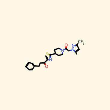 Cc1cc(C(F)(F)F)nn1CC(=O)N1CCC(c2nc(C(=O)CCc3ccccc3)cs2)CC1